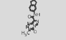 Cn1nnc2c(C(=O)Nc3ccc4c(c3)CCC4)ncn2c1=O